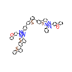 c1ccc(-c2nc(-c3ccc4c(c3)oc3ccccc34)nc(-c3cccc4c3sc3ccc(-c5cccc6c5sc5cc(-c7ccc(-c8nc(-c9ccc%10oc%11ccccc%11c%10c9)nc(-c9cccc%10c9sc9ccc(-c%11cccc%12c%11sc%11ccccc%11%12)cc9%10)n8)cc7)ccc56)cc34)n2)cc1